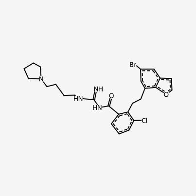 N=C(NCCCCN1CCCC1)NC(=O)c1cccc(Cl)c1CCc1cc(Br)cc2ccoc12